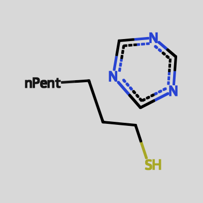 CCCCCCCCS.c1ncncn1